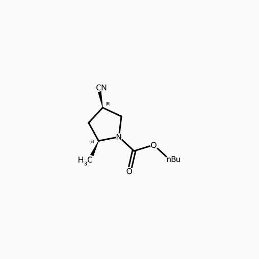 CCCCOC(=O)N1C[C@H](C#N)C[C@@H]1C